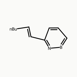 CCCCC=Cc1cccbn1